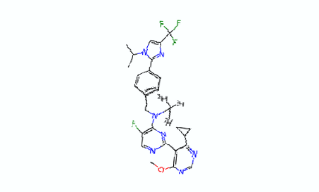 [2H]C([2H])([2H])N(Cc1ccc(-c2nc(C(F)(F)F)cn2C(C)C)cc1)c1nc(-c2c(OC)ncnc2C2CC2)ncc1F